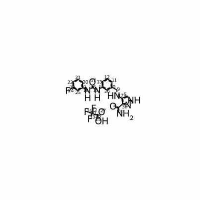 NC(=O)c1n[nH]cc1NCc1cccc(NC(=O)Nc2cccc(F)c2)c1.O=C(O)C(F)(F)F